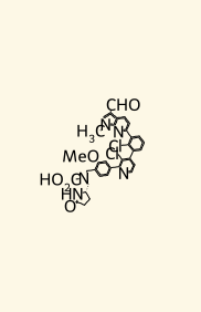 COc1cc(-c2nccc(-c3cccc(-c4ccc5c(C=O)cn(C)c5n4)c3Cl)c2Cl)ccc1CN(C[C@@H]1CCC(=O)N1)C(=O)O